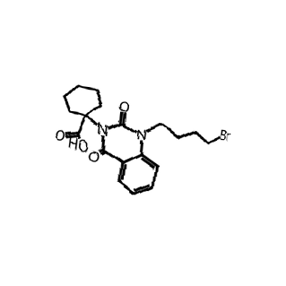 O=C(O)C1(n2c(=O)c3ccccc3n(CCCCBr)c2=O)CCCCC1